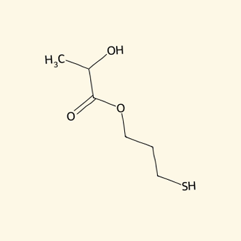 CC(O)C(=O)OCCCS